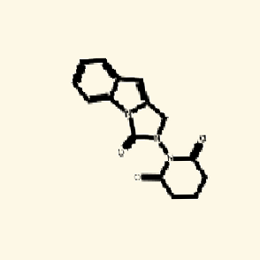 O=C1CCCC(=O)N1N1Cc2cc3ccccc3n2C1=O